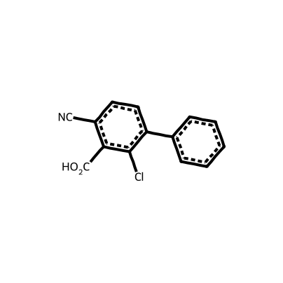 N#Cc1ccc(-c2ccccc2)c(Cl)c1C(=O)O